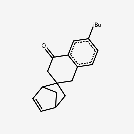 CCC(C)c1ccc2c(c1)C(=O)CC1(C2)CC2C=CC1C2